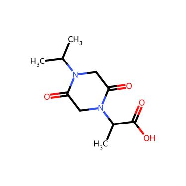 CC(C)N1CC(=O)N(C(C)C(=O)O)CC1=O